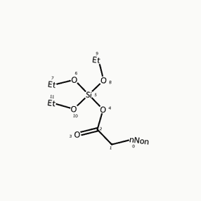 CCCCCCCCCCC(=O)O[Si](OCC)(OCC)OCC